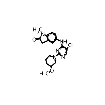 COC1CCCN(c2ncc(Cl)c(Nc3ccc4c(c3)CC(=O)N4C)n2)C1